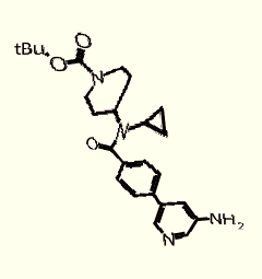 CC(C)(C)OC(=O)N1CCC(N(C(=O)c2ccc(-c3cncc(N)c3)cc2)C2CC2)CC1